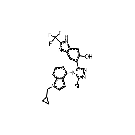 Oc1cc2[nH]c(C(F)(F)F)nc2cc1-c1nnc(S)n1-c1cccc2c1ccn2CC1CC1